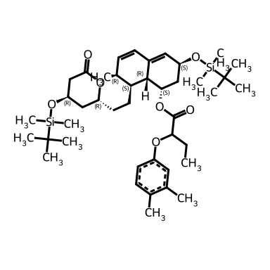 CCC(Oc1ccc(C)c(C)c1)C(=O)O[C@H]1C[C@H](O[Si](C)(C)C(C)(C)C)C=C2C=C[C@H](C)[C@H](CC[C@@H]3C[C@@H](O[Si](C)(C)C(C)(C)C)CC(=O)O3)[C@H]21